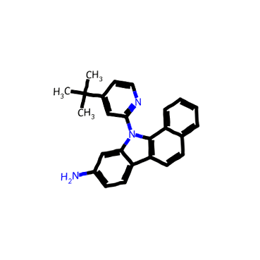 CC(C)(C)c1ccnc(-n2c3cc(N)ccc3c3ccc4ccccc4c32)c1